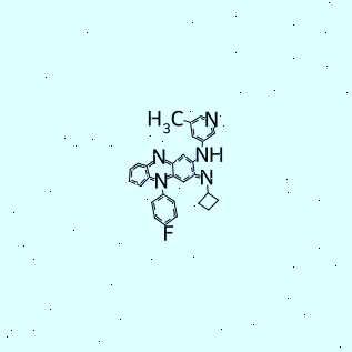 Cc1cncc(Nc2cc3nc4ccccc4n(-c4ccc(F)cc4)c-3c/c2=N\C2CCC2)c1